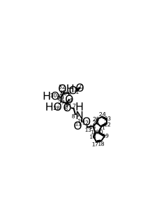 O=COC1O[C@@H](OCCNC(=O)OCC2c3ccccc3-c3ccccc32)C(O)[C@@H](O)[C@@H]1O